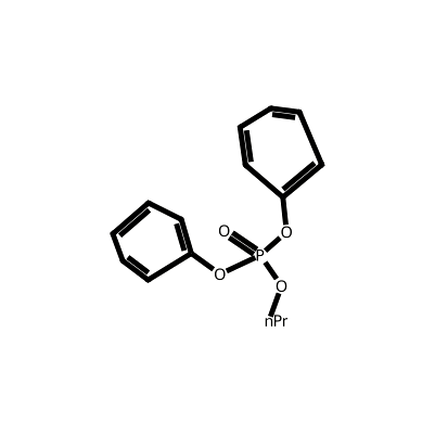 CCCOP(=O)(Oc1ccccc1)Oc1ccccc1